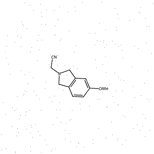 COc1ccc2c(c1)CN(CC#N)C2